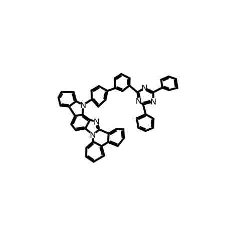 c1ccc(-c2nc(-c3ccccc3)nc(-c3cccc(-c4ccc(-n5c6ccccc6c6ccc7c(nc8c9ccccc9c9ccccc9n78)c65)cc4)c3)n2)cc1